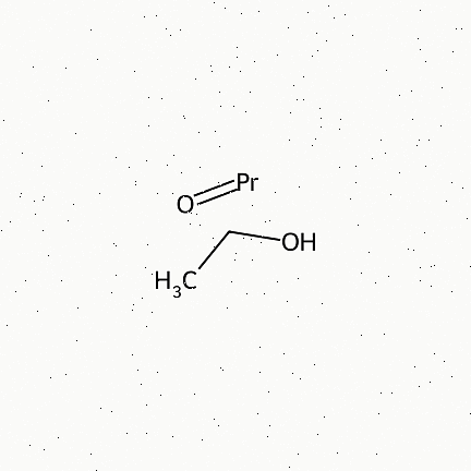 CCO.[O]=[Pr]